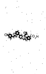 O=C(O)c1ccc2nc(CN3CCC(c4cccc5oc(Cc6ccc(Cl)cc6F)nc45)CC3)n(CC3CCO3)c2c1